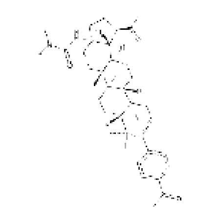 C=C(C)[C@@H]1CC[C@]2(NC(=O)N(C)C)CC[C@]3(C)[C@H](CC[C@@H]4[C@@]5(C)CC=C(c6ccc(C(C)=O)cc6)C(C)(C)[C@@H]5CC[C@]43C)[C@@H]12